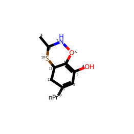 CCCC1=CC(O)=C2ONC(C)SC2C1